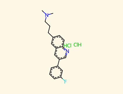 CN(C)CCCc1ccc2ncc(-c3cccc(F)c3)cc2c1.Cl.Cl